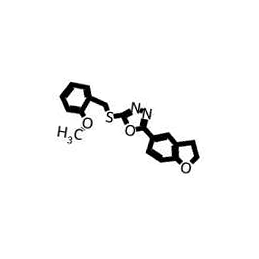 COc1ccccc1CSc1nnc(-c2ccc3c(c2)CCO3)o1